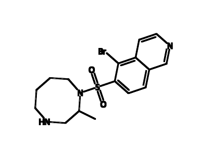 CC1CNCCCCN1S(=O)(=O)c1ccc2cnccc2c1Br